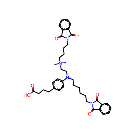 C[N+](C)(CCCCN1C(=O)c2ccccc2C1=O)CCN(CCCCCCN1C(=O)c2ccccc2C1=O)c1ccc(CCCC(=O)O)cc1